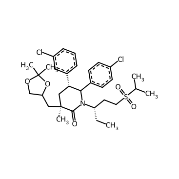 CC[C@@H](CCS(=O)(=O)C(C)C)N1C(=O)[C@@](C)(CC2COC(C)(C)O2)C[C@H](c2cccc(Cl)c2)C1c1ccc(Cl)cc1